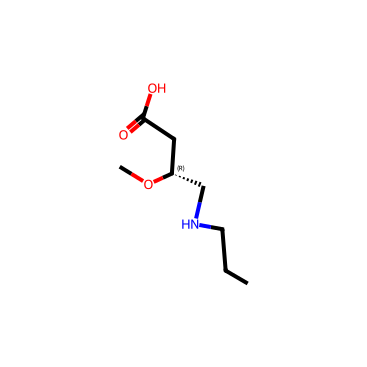 CCCNC[C@@H](CC(=O)O)OC